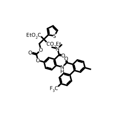 CCOC(=O)C(COC(=O)Oc1ccc(NC(=O)c2ccc(C)cc2-c2ccc(C(F)(F)F)cc2)c(C(=O)N(C)C)c1)(C(=O)OCC)c1cccs1